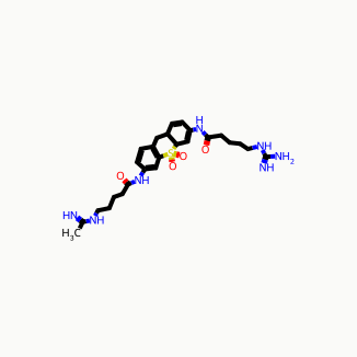 CC(=N)NCCCCC(=O)Nc1ccc2c(c1)S(=O)(=O)C1C=C(NC(=O)CCCCNC(=N)N)C=CC1C2